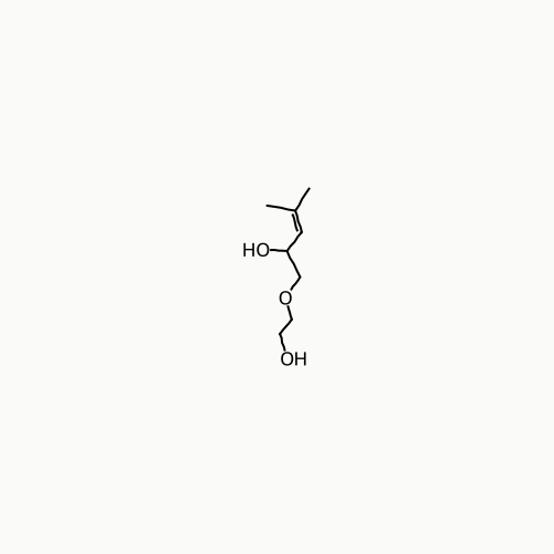 CC(C)=CC(O)COCCO